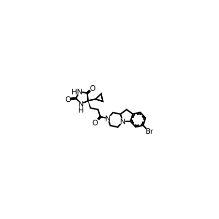 O=C1NC(=O)[C@](CCC(=O)N2CCN3c4cc(Br)ccc4CC3C2)(C2CC2)N1